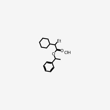 CCC(C(=O)OC(C)c1ccccc1)C1CCCCC1.Cl